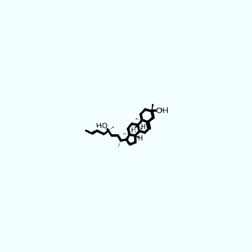 CCCC[C@@](C)(O)CC[C@@H](C)C1CC[C@H]2[C@@H]3CC=C4C[C@@](C)(O)CC[C@]4(C)[C@H]3CC[C@]12C